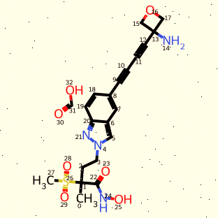 CC(CCn1cc2cc(C#CC#CC3(N)COC3)ccc2n1)(C(=O)NO)S(C)(=O)=O.O=CO